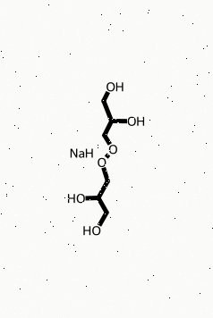 OCC(O)COOCC(O)CO.[NaH]